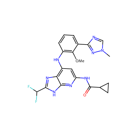 COc1c(Nc2cc(NC(=O)C3CC3)nc3[nH]c(C(F)F)nc23)cccc1-c1ncn(C)n1